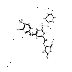 O=C1CC(=O)C(CNc2nc(NCC3CCCCC3)nc(Nc3ccc(O)c(F)c3)n2)S1